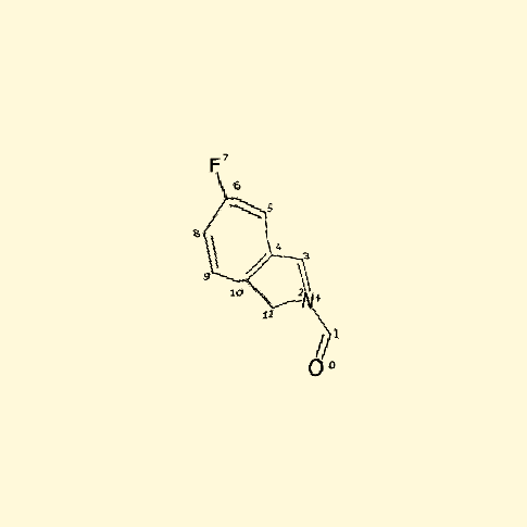 O=C[N+]1=Cc2cc(F)ccc2C1